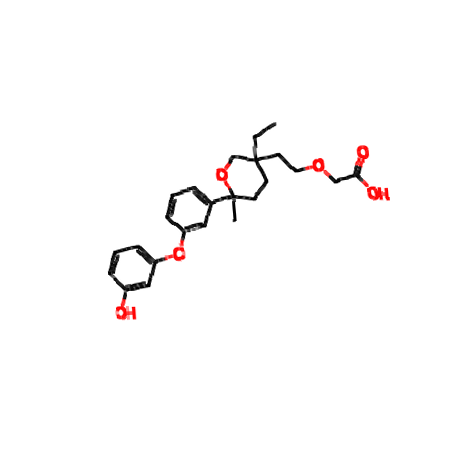 CCC1(CCOCC(=O)O)CCC(C)(c2cccc(Oc3cccc(O)c3)c2)OC1